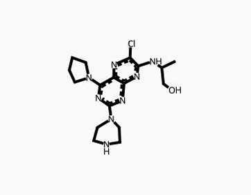 CC(CO)Nc1nc2nc(N3CCNCC3)nc(N3CCCC3)c2nc1Cl